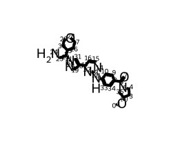 CO[C@H]1CCN(C(=O)c2ccc(Nc3nccc(-c4cnn(C(CN)C5CCOCC5)c4)n3)cc2)C1